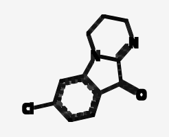 O=C1C2=NCCCN2c2cc(Cl)ccc21